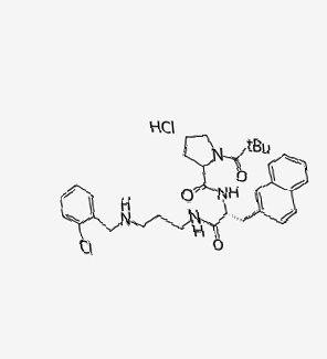 CC(C)(C)C(=O)N1CCCC1C(=O)N[C@H](Cc1ccc2ccccc2c1)C(=O)NCCCNCc1ccccc1Cl.Cl